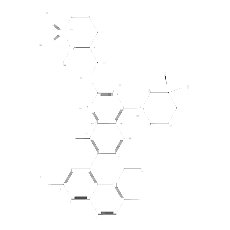 CCc1c(F)ccc2cc(O)cc(-c3ccc4c(N5CCC[C@@](C)(O)C5)nc(OCC5CCCS(=O)(=O)N5C)nc4c3F)c12